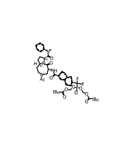 CC(=O)N1CC[C@H]2CC[C@@H](C(=O)N(C)c3ccccc3)N2C(=O)C(NC(=O)c2ccc3cc(C(F)(F)P(=O)(OCOC(=O)C(C)(C)C)OCOC(=O)C(C)(C)C)ccc3c2)C1